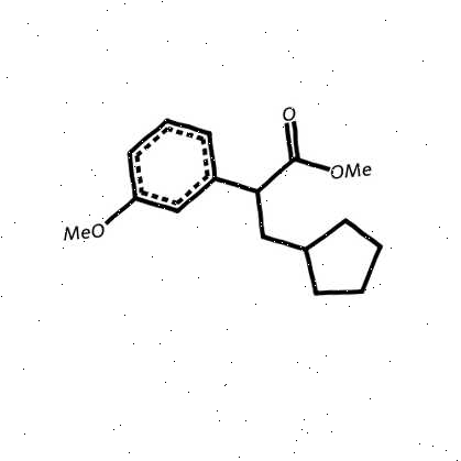 COC(=O)C(CC1CCCC1)c1cccc(OC)c1